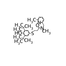 Cc1cccc(CN(C)C(=O)CCSc2cc(C(C)(C)C)c(O)c(C(C)(C)C)c2)n1